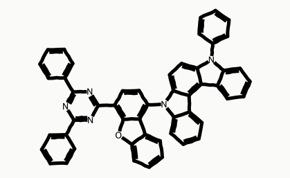 c1ccc(-c2nc(-c3ccccc3)nc(-c3ccc(-n4c5ccccc5c5c6c7ccccc7n(-c7ccccc7)c6ccc54)c4c3oc3ccccc34)n2)cc1